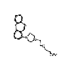 CC(=O)OCCOCCN1CCN(c2cccc3c2C=Nc2ccccc2S3)CC1